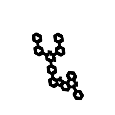 c1ccc(-c2cccc(-c3cc(-c4ccc(-c5cccc6c5sc5c6ccc6c(-c7ccccc7)nc7ccccc7c65)cc4)nc(-c4cccc(-c5ccccc5)c4)n3)c2)cc1